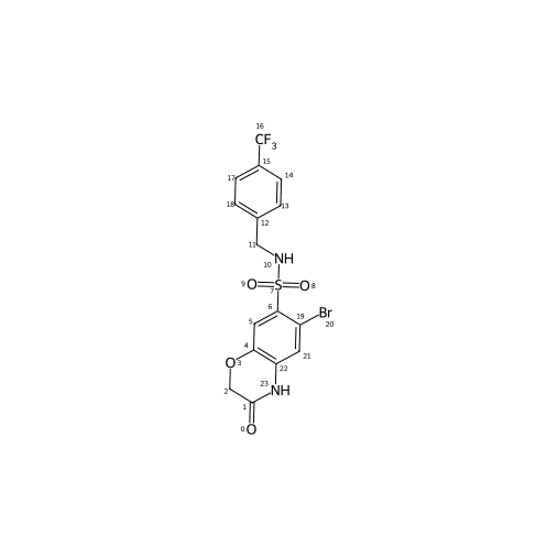 O=C1COc2cc(S(=O)(=O)NCc3ccc(C(F)(F)F)cc3)c(Br)cc2N1